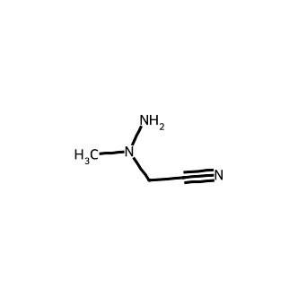 CN(N)CC#N